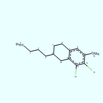 CCCC(C)CCCC1CCc2cc(OC)c(F)c(F)c2C1